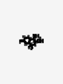 CC1(C)C[C@H](O)C(N)c2ccc(F)cc21